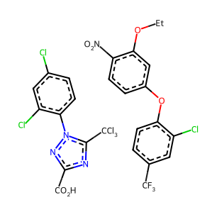 CCOc1cc(Oc2ccc(C(F)(F)F)cc2Cl)ccc1[N+](=O)[O-].O=C(O)c1nc(C(Cl)(Cl)Cl)n(-c2ccc(Cl)cc2Cl)n1